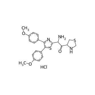 COc1ccc(-c2nc(C(N)C(=O)C3CSCN3)sc2-c2ccc(OC)cc2)cc1.Cl